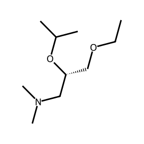 CCOC[C@H](CN(C)C)OC(C)C